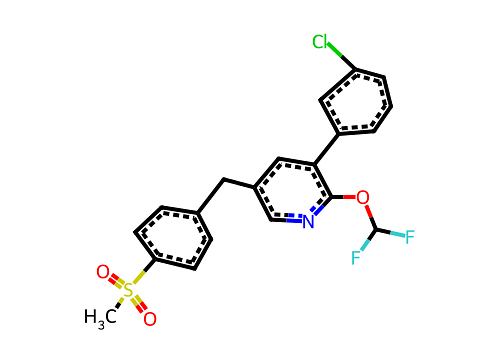 CS(=O)(=O)c1ccc(Cc2cnc(OC(F)F)c(-c3cccc(Cl)c3)c2)cc1